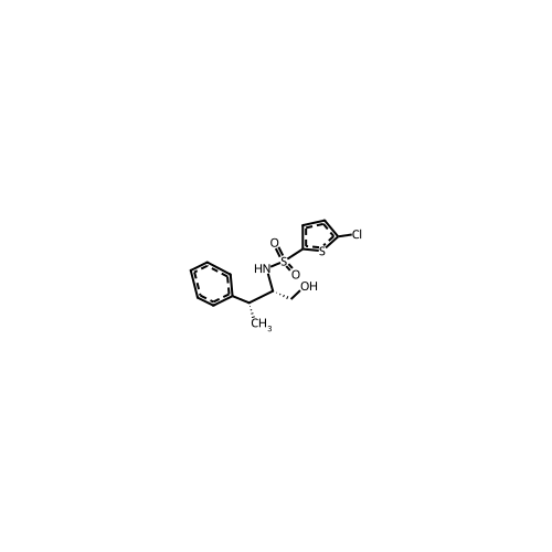 C[C@H](c1ccccc1)[C@@H](CO)NS(=O)(=O)c1ccc(Cl)s1